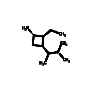 CC[C@H]1[C@@H](C(C)P(C)C)C[C@@H]1N